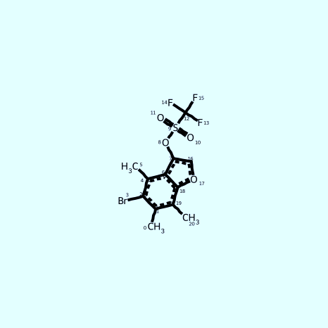 Cc1c(Br)c(C)c2c(OS(=O)(=O)C(F)(F)F)coc2c1C